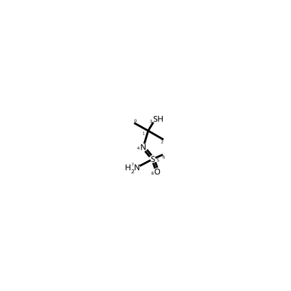 CC(C)(S)N=S(C)(N)=O